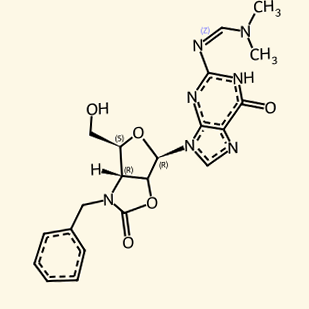 CN(C)/C=N\c1nc2c(ncn2[C@@H]2O[C@H](CO)[C@@H]3C2OC(=O)N3Cc2ccccc2)c(=O)[nH]1